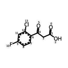 O=C(O)CC(=O)c1ccc(F)cc1Cl